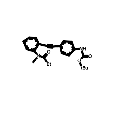 CCC(=O)N(C)c1ccccc1C#Cc1ccc(NC(=O)OC(C)(C)C)cc1